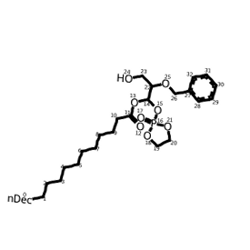 CCCCCCCCCCCCCCCCCCCCC(=O)OC(OP1(=O)OCCO1)C(CO)OCc1ccccc1